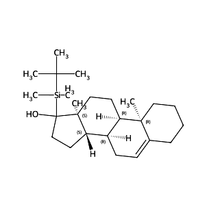 CC(C)(C)[Si](C)(C)C1(O)CC[C@H]2[C@@H]3CC=C4CCCC[C@]4(C)[C@@H]3CC[C@@]21C